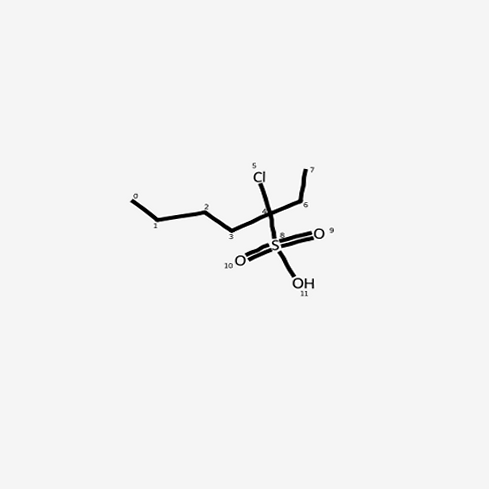 CCCCC(Cl)(CC)S(=O)(=O)O